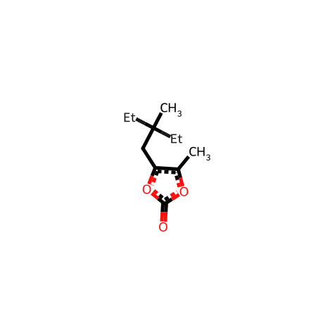 CCC(C)(CC)Cc1oc(=O)oc1C